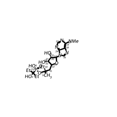 CCC(O)(CC)P(=O)(O)O[C@](C)(CC)CC1OC(n2cnc3c(NC)ncnc32)[C@H](O)[C@@H]1O